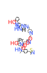 Cc1ncsc1-c1ccc(C(C)NC(=O)[C@@H]2C[C@@H](O)CN2C(=O)C(c2cc(OCCN3CCC(CN4CCN5c6cc(-c7ccccc7O)nnc6NC[C@@H]5C4)CC3)no2)C(C)C)cc1